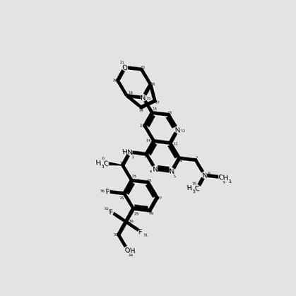 C[C@@H](Nc1nnc(CN(C)C)c2ncc(N3C4CCC3COC4)cc12)c1cccc(C(F)(F)CO)c1F